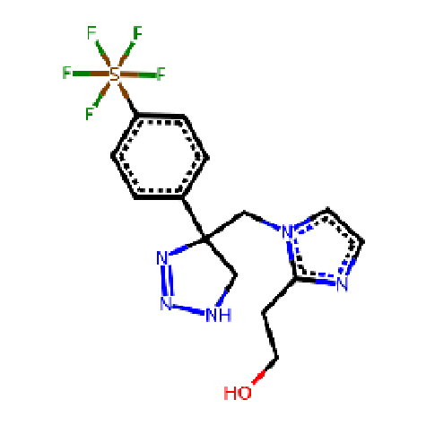 OCCc1nccn1CC1(c2ccc(S(F)(F)(F)(F)F)cc2)CNN=N1